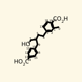 Cc1cc(CCC(CO)Cc2ccc(C(=O)O)cc2)ccc1C(=O)O